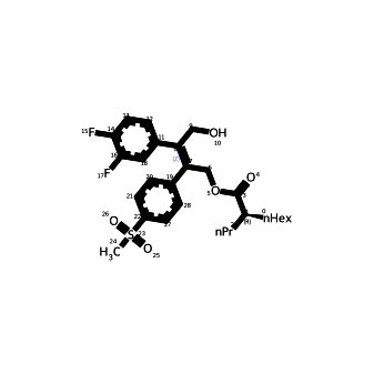 CCCCCC[C@@H](CCC)C(=O)OC/C(=C(\CO)c1ccc(F)c(F)c1)c1ccc(S(C)(=O)=O)cc1